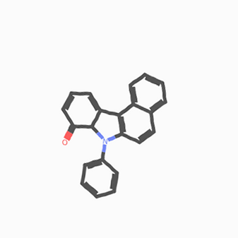 O=C1C=CC=C2c3c(ccc4ccccc34)N(c3ccccc3)C12